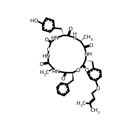 CC(C)=CCOc1ccc(C[C@H]2NC(=O)[C@@H](C)NC(=O)[C@@H](Cc3ccc(O)cc3)NC(=O)CNC(=O)[C@H](C)NC(=O)[C@H](Cc3ccccc3)OC2=O)cc1